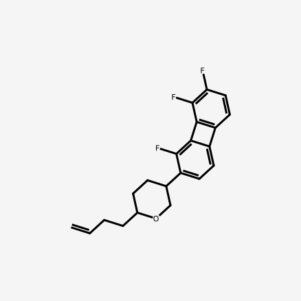 C=CCCC1CCC(c2ccc3c(c2F)-c2c-3ccc(F)c2F)CO1